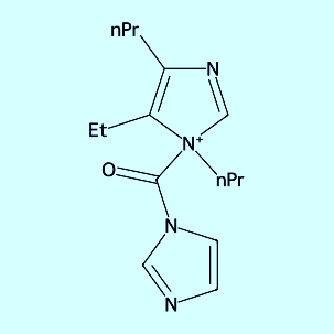 CCCC1=C(CC)[N+](CCC)(C(=O)n2ccnc2)C=N1